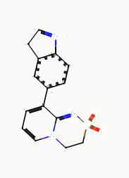 O=S1(=O)CCN2C=CC=C(c3ccc4c(c3)CC=N4)C2=N1